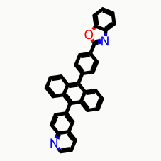 c1cnc2ccc(-c3c4ccccc4c(-c4ccc(-c5nc6ccccc6o5)cc4)c4ccccc34)cc2c1